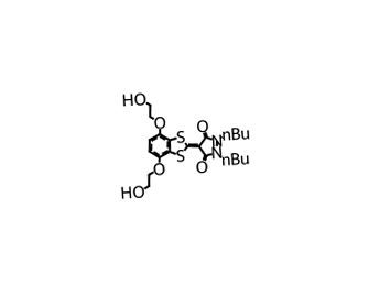 CCCCN1C(=O)C(=C2Sc3c(OCCO)ccc(OCCO)c3S2)C(=O)N1CCCC